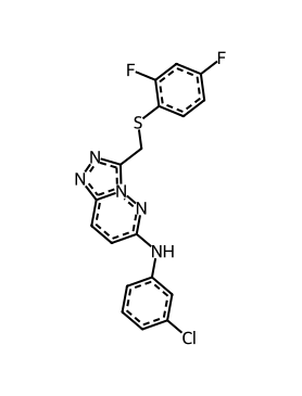 Fc1ccc(SCc2nnc3ccc(Nc4cccc(Cl)c4)nn23)c(F)c1